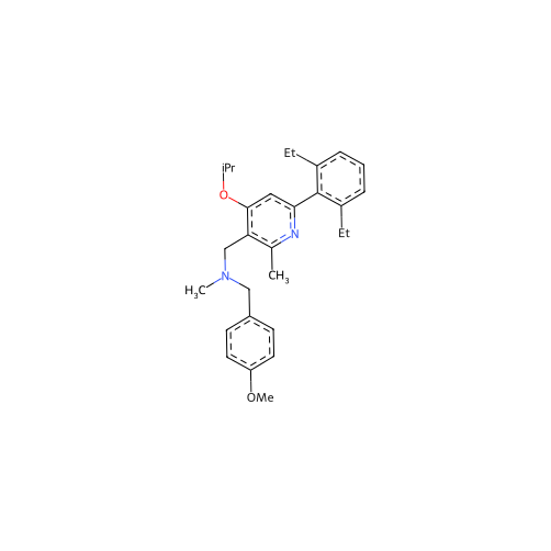 CCc1cccc(CC)c1-c1cc(OC(C)C)c(CN(C)Cc2ccc(OC)cc2)c(C)n1